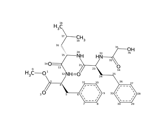 COC(=O)[C@H](Cc1ccccc1)NC(=O)[C@H](CC(C)C)NC(=O)[C@H](CCc1ccccc1)NC(=O)CO